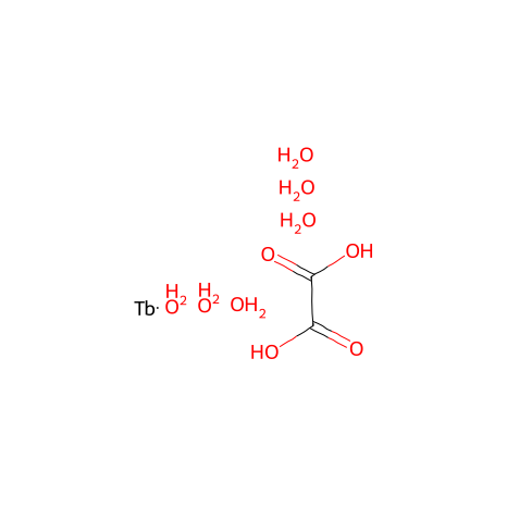 O.O.O.O.O.O.O=C(O)C(=O)O.[Tb]